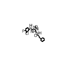 N=C(Nc1ccc(F)c(Cl)c1)c1nonc1CNC(=O)CCc1ccccc1